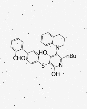 CCCCc1nc(O)c(Sc2ccc(-c3ccccc3C=O)cc2)c(O)c1N1CCCc2ccccc21